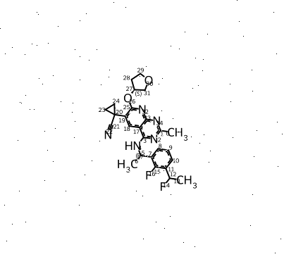 Cc1nc(N[C@H](C)c2cccc(C(C)F)c2F)c2cc(C3(C#N)CC3)c(O[C@H]3CCOC3)nc2n1